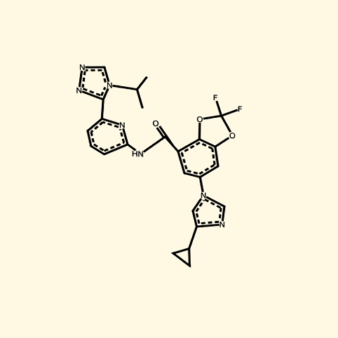 CC(C)n1cnnc1-c1cccc(NC(=O)c2cc(-n3cnc(C4CC4)c3)cc3c2OC(F)(F)O3)n1